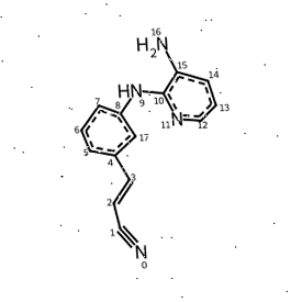 N#C/C=C/c1cccc(Nc2ncccc2N)c1